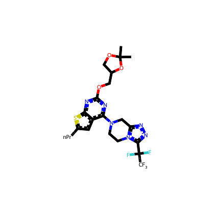 CCCc1cc2c(N3CCn4c(nnc4C(F)(F)C(F)(F)F)C3)nc(OCC3COC(C)(C)O3)nc2s1